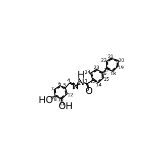 O=C(N/N=C/c1ccc(O)c(O)c1)c1ccc(-c2ccccc2)cc1